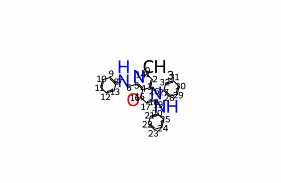 Cc1cc2c(c(CNc3ccccc3)n1)c(=O)cc(Nc1ccccc1)n2-c1ccccc1